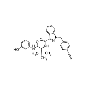 CC(C)(C)[C@H](NC(=O)c1nn(Cc2ccc(C#N)cc2)c2ccccc12)C(=O)Nc1cccc(O)c1